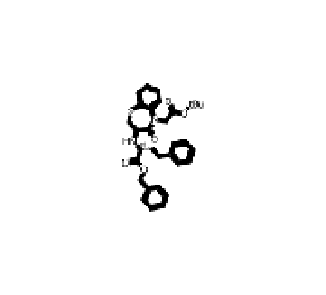 CC(C)(C)OC(=O)CN1C(=O)C(N[C@H](CCc2ccccc2)C(=O)OCc2ccccc2)CSc2ccccc21